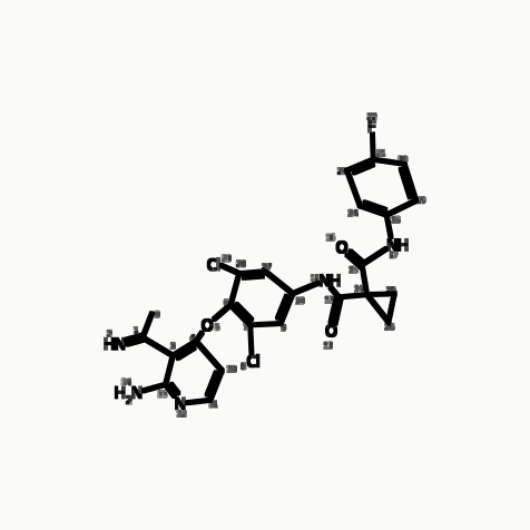 CC(=N)c1c(Oc2c(Cl)cc(NC(=O)C3(C(=O)Nc4ccc(F)cc4)CC3)cc2Cl)ccnc1N